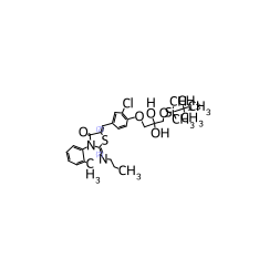 CCC/N=C1\S/C(=C\c2ccc(OCC(O)(O)CO[Si](C)(C)C(C)(C)C)c(Cl)c2)C(=O)N1c1ccccc1C